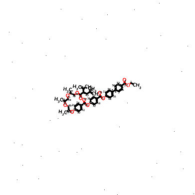 CCOC(=O)c1ccc(-c2ccc(OC(=O)c3ccc(OC(=O)c4ccc(OC(C)COC(C)COC(C)COC(=O)C(CC(C)C)C(C)C)cc4)cc3)cc2)cc1